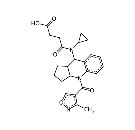 Cc1nocc1C(=O)N1c2ccccc2C(N(C(=O)CCC(=O)O)C2CC2)C2CCCC21